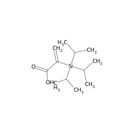 C=C(C(=O)O)[Si](C(C)C)(C(C)C)C(C)C